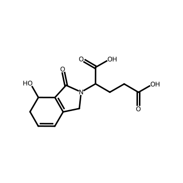 O=C(O)CCC(C(=O)O)N1CC2=C(C1=O)C(O)CC=C2